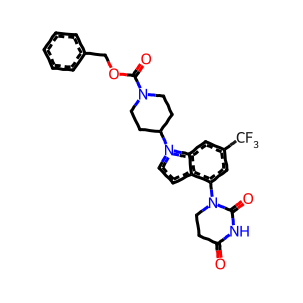 O=C1CCN(c2cc(C(F)(F)F)cc3c2ccn3C2CCN(C(=O)OCc3ccccc3)CC2)C(=O)N1